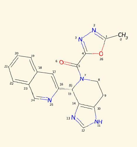 Cc1nnc(C(=O)N2CCc3[nH]cnc3[C@@H]2c2cc3ccccc3cn2)o1